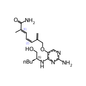 C=C(/C=C\C=C(/C)C(N)=O)COc1cnc(N)nc1N[C@H](CO)CCCC